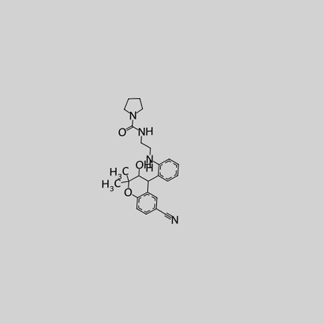 CC1(C)Oc2ccc(C#N)cc2C(c2ccccc2NCCNC(=O)N2CCCC2)C1O